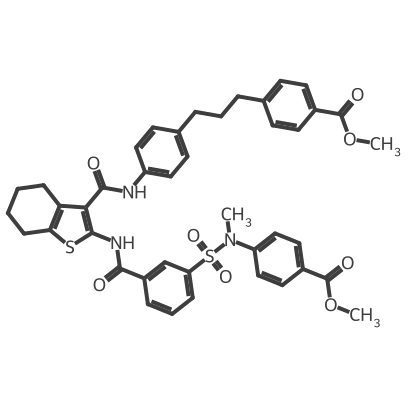 COC(=O)c1ccc(CCCc2ccc(NC(=O)c3c(NC(=O)c4cccc(S(=O)(=O)N(C)c5ccc(C(=O)OC)cc5)c4)sc4c3CCCC4)cc2)cc1